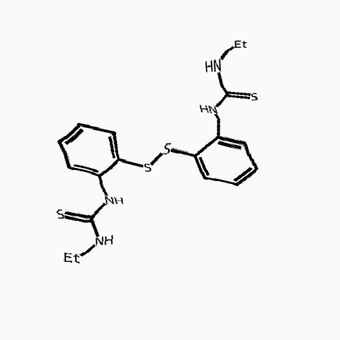 CCNC(=S)Nc1ccccc1SSc1ccccc1NC(=S)NCC